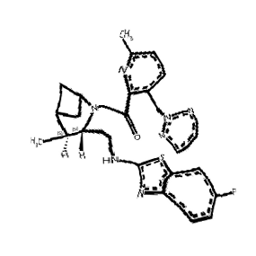 Cc1ccc(-n2nccn2)c(C(=O)N2C3CC(C3)[C@H](C)[C@H]2CNc2nc3ccc(F)cc3s2)n1